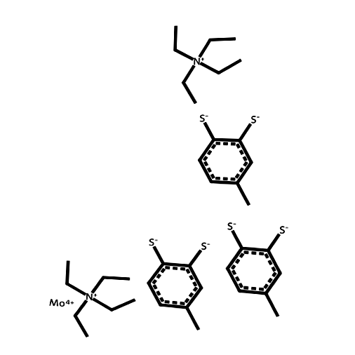 CC[N+](CC)(CC)CC.CC[N+](CC)(CC)CC.Cc1ccc([S-])c([S-])c1.Cc1ccc([S-])c([S-])c1.Cc1ccc([S-])c([S-])c1.[Mo+4]